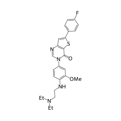 CCN(CC)CCNc1ccc(-n2cnc3cc(-c4ccc(F)cc4)sc3c2=O)cc1OC